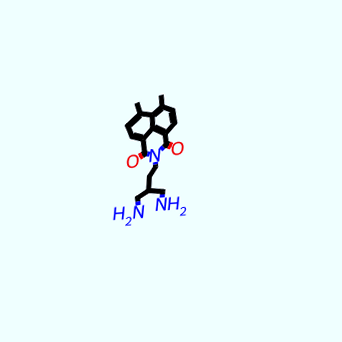 Cc1ccc2c3c(ccc(C)c13)C(=O)N(CCC(CN)CN)C2=O